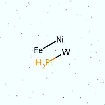 [Fe][Ni].[PH2][W]